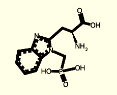 N[C@@H](Cc1nc2ccccc2n1CP(=O)(O)O)C(=O)O